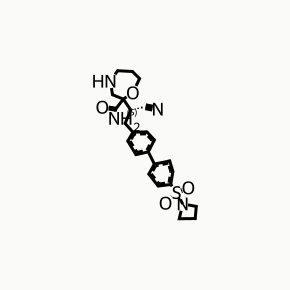 N#C[C@H](Cc1ccc(-c2ccc(S(=O)(=O)N3CCC3)cc2)cc1)C1(C(N)=O)CNCCCO1